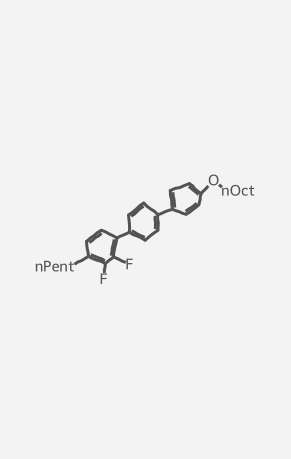 CCCCCCCCOc1ccc(-c2ccc(-c3ccc(CCCCC)c(F)c3F)cc2)cc1